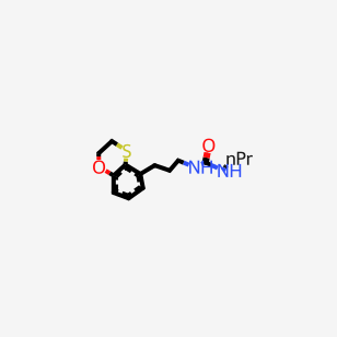 CCCNC(=O)NCCCc1cccc2c1SCCO2